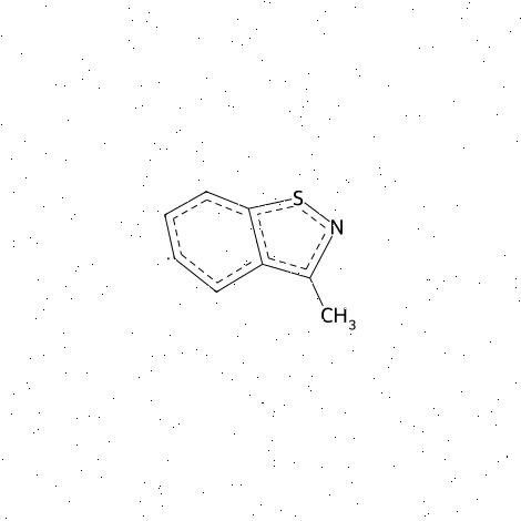 Cc1nsc2cc[c]cc12